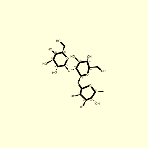 C[C@@H]1OC(O[C@@H]2O[C@H](CO)[C@@H](O)[C@H](O)[C@H]2O[C@@H]2O[C@H](CO)[C@H](O)[C@H](O)[C@H]2O)[C@H](O)[C@H](O)[C@H]1O